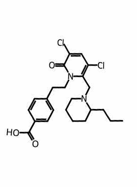 CCCC1CCCCN1Cc1c(Cl)cc(Cl)c(=O)n1CCc1ccc(C(=O)O)cc1